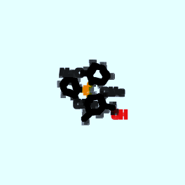 COc1ccccc1P(c1ccccc1OC)c1cc(C)cc(CO)c1OC